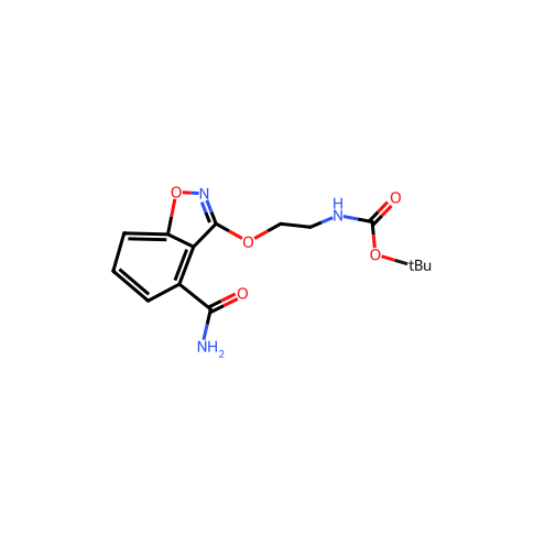 CC(C)(C)OC(=O)NCCOc1noc2cccc(C(N)=O)c12